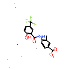 COC(=O)c1ccc(NC(=O)c2cc(C(F)(F)F)ccc2O)c(C)c1